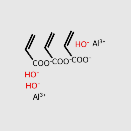 C=CC(=O)[O-].C=CC(=O)[O-].C=CC(=O)[O-].[Al+3].[Al+3].[OH-].[OH-].[OH-]